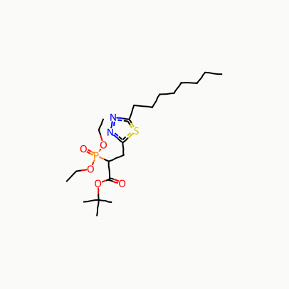 CCCCCCCCc1nnc(CC(C(=O)OC(C)(C)C)P(=O)(OCC)OCC)s1